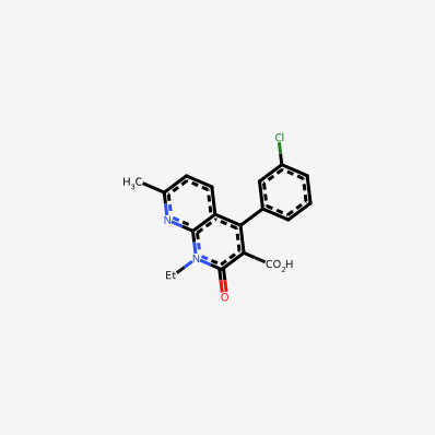 CCn1c(=O)c(C(=O)O)c(-c2cccc(Cl)c2)c2ccc(C)nc21